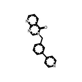 O=c1c2cccnc2ncn1Cc1cccc(-c2ccncc2)c1